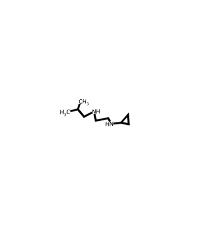 CC(C)CNCCNC1CC1